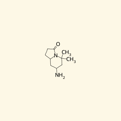 CC1(C)CC(N)CC2CCC(=O)N21